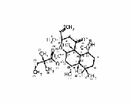 C=C[C@@]1(C)CC(=O)[C@]2(O)[C@@]3(C)[C@@H](O)CCC(C)(C)[C@@H]3[C@H](O)[C@H](OC(=O)C(C)(C)OC)[C@@]2(C)O1